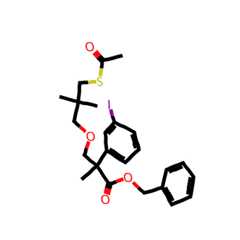 CC(=O)SCC(C)(C)COCC(C)(C(=O)OCc1ccccc1)c1cccc(I)c1